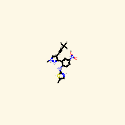 Cc1cnc(Nc2ccc([N+](=O)[O-])cc2-c2nn(C)cc2C#CC(C)(C)C)s1